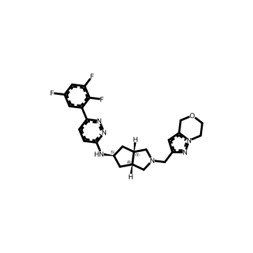 Fc1cc(F)c(F)c(-c2ccc(N[C@H]3C[C@@H]4CN(Cc5cc6n(n5)CCOC6)C[C@@H]4C3)nn2)c1